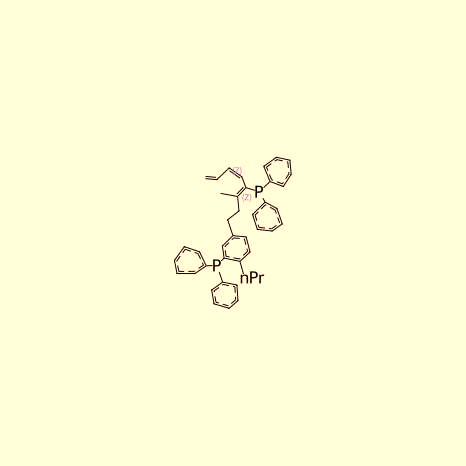 C=C/C=C\C(=C(/C)CCc1ccc(CCC)c(P(c2ccccc2)c2ccccc2)c1)P(c1ccccc1)c1ccccc1